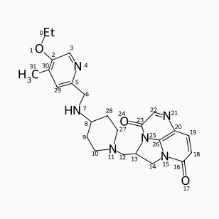 CCOc1cnc(CNC2CCN(CC3Cn4c(=O)ccc5ncc(=O)n3c54)CC2)cc1C